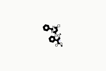 CO/C=C(/C(=O)OC)c1ccccc1Oc1cc(Cl)nc(-c2ccccc2)n1